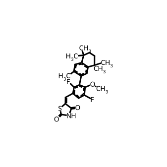 COc1c(F)cc(C=C2SC(=O)NC2=O)c(F)c1-c1cc2c(cc1C)C(C)(C)CCC2(C)C